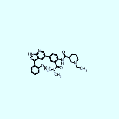 CCN1CCCC(C(=O)Nc2ccc(-c3cnc4[nH]nc(-c5ccccc5OC)c4c3)cc2C(=O)N(C)C)C1